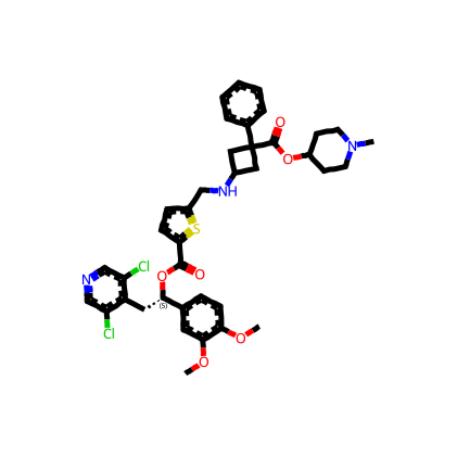 COc1ccc([C@H](Cc2c(Cl)cncc2Cl)OC(=O)c2ccc(CNC3CC(C(=O)OC4CCN(C)CC4)(c4ccccc4)C3)s2)cc1OC